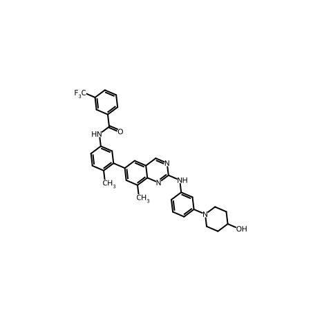 Cc1ccc(NC(=O)c2cccc(C(F)(F)F)c2)cc1-c1cc(C)c2nc(Nc3cccc(N4CCC(O)CC4)c3)ncc2c1